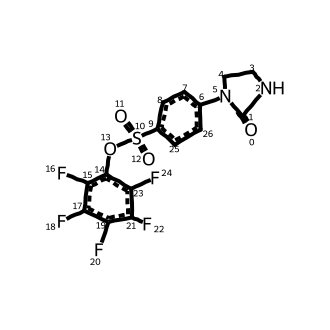 O=C1NCCN1c1ccc(S(=O)(=O)Oc2c(F)c(F)c(F)c(F)c2F)cc1